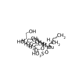 C=C.C=C.C=C.C=C.C=C.C=C.CC(C)(C)OS(=O)(=O)O.CCOCC.OCCO